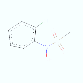 CS(=O)(=O)N(O)c1ccccc1Cl